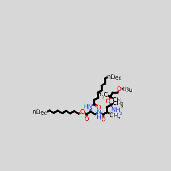 CCCCCCCCCCCCCCCCCCOC(=O)C(CNC(=O)C(C)CC(C)(N)OC(C)(C)CCOC(C)(C)C)NC(=O)CCCCCCCCCCCCCCCCC